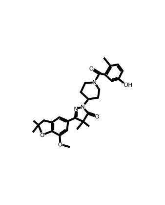 COc1cc(C2=NN(C3CCN(C(=O)c4cc(O)ccc4C)CC3)C(=O)C2(C)C)cc2c1OC(C)(C)C2